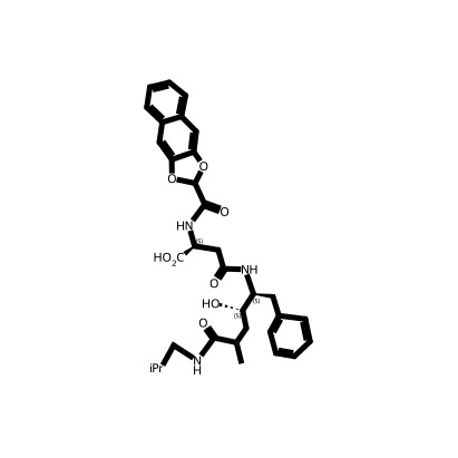 CC(C)CNC(=O)C(C)C[C@H](O)[C@H](Cc1ccccc1)NC(=O)C[C@H](NC(=O)C1Oc2cc3ccccc3cc2O1)C(=O)O